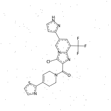 O=C(c1nc2c(C(F)(F)F)cc(-c3cc[nH]n3)cn2c1Cl)N1CC=C(c2nccs2)CC1